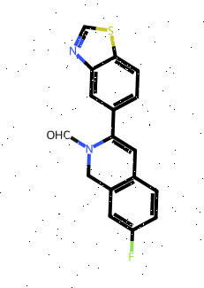 O=CN1Cc2cc(F)ccc2C=C1c1ccc2scnc2c1